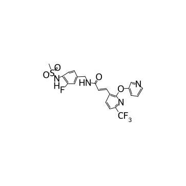 CS(=O)(=O)Nc1ccc(CNC(=O)/C=C/c2ccc(C(F)(F)F)nc2Oc2cccnc2)cc1F